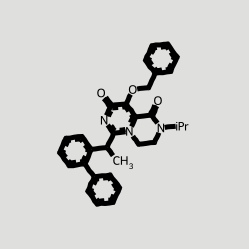 CC(c1ccccc1-c1ccccc1)c1nc(=O)c(OCc2ccccc2)c2n1CCN(C(C)C)C2=O